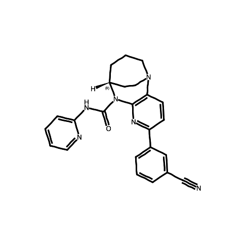 N#Cc1cccc(-c2ccc3c(n2)N(C(=O)Nc2ccccn2)[C@@H]2CCCN3CC2)c1